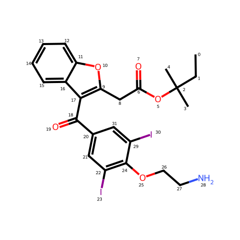 CCC(C)(C)OC(=O)Cc1oc2ccccc2c1C(=O)c1cc(I)c(OCCN)c(I)c1